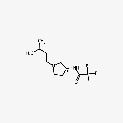 CC(C)CCN1CC[C@@H](NC(=O)C(F)(F)F)C1